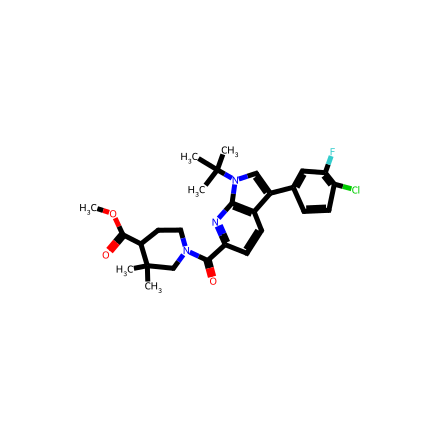 COC(=O)C1CCN(C(=O)c2ccc3c(-c4ccc(Cl)c(F)c4)cn(C(C)(C)C)c3n2)CC1(C)C